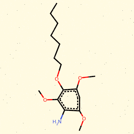 CCCCCCCOc1c(OC)cc(OC)c(N)c1OC